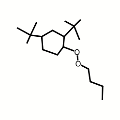 CCCCOOC1CCC(C(C)(C)C)CC1C(C)(C)C